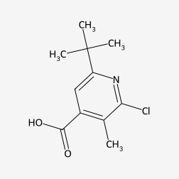 Cc1c(C(=O)O)cc(C(C)(C)C)nc1Cl